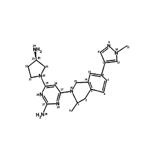 CC1Cc2ccc(-c3cnn(C)c3)cc2CN1c1cc(N2CC[C@@H](N)C2)nc(N)n1